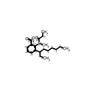 CCCCCCC(CC)c1cccc(C(=O)O)c1N(C)C(=O)CC